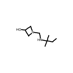 CCC(C)(C)NCN1CC(O)C1